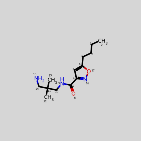 CCCCc1cc(C(=O)NCC(C)(C)CN)no1